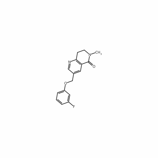 CN1CCc2ncc(COc3cccc(F)c3)cc2C1=O